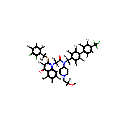 [2H]c1c([2H])c(F)c(F)c(C([2H])([2H])Sc2c([2H])c(=O)c3c([2H])c(C)c([2H])c([2H])c3n2C([2H])([2H])C(=O)N(C2CCN(CC([2H])([2H])OC)CC2)C([2H])([2H])c2c([2H])c([2H])c(-c3c([2H])c([2H])c(C(F)(F)F)c([2H])c3[2H])c([2H])c2[2H])c1[2H]